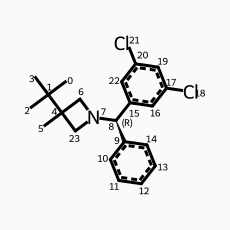 CC(C)(C)C1(C)CN([C@H](c2ccccc2)c2cc(Cl)cc(Cl)c2)C1